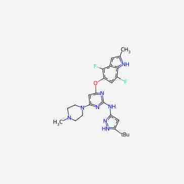 Cc1cc2c(F)c(Oc3cc(N4CCN(C)CC4)nc(Nc4cc(C(C)(C)C)[nH]n4)n3)cc(F)c2[nH]1